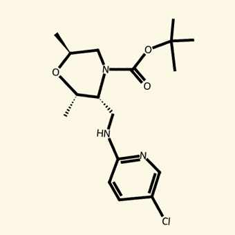 C[C@@H]1O[C@@H](C)CN(C(=O)OC(C)(C)C)[C@@H]1CNc1ccc(Cl)cn1